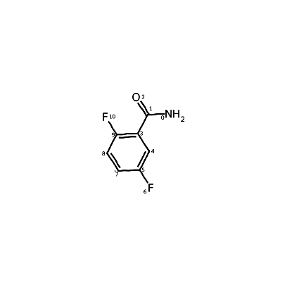 NC(=O)c1cc(F)[c]cc1F